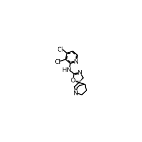 Clc1ccnc(NC2=NC[C@@]3(CN4CCC3CC4)O2)c1Cl